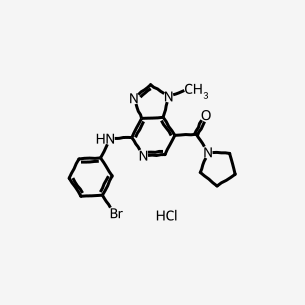 Cl.Cn1cnc2c(Nc3cccc(Br)c3)ncc(C(=O)N3CCCC3)c21